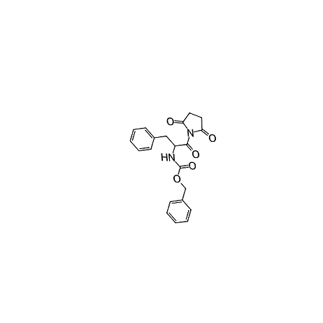 O=C(NC(Cc1ccccc1)C(=O)N1C(=O)CCC1=O)OCc1ccccc1